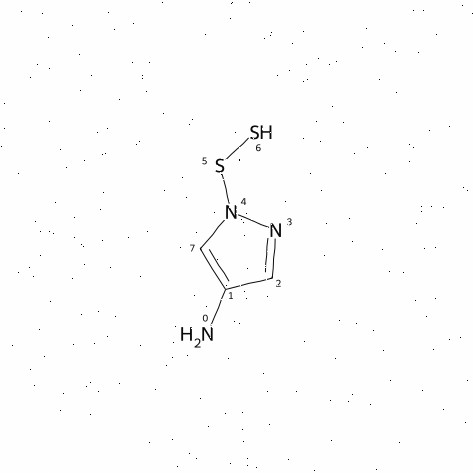 Nc1cnn(SS)c1